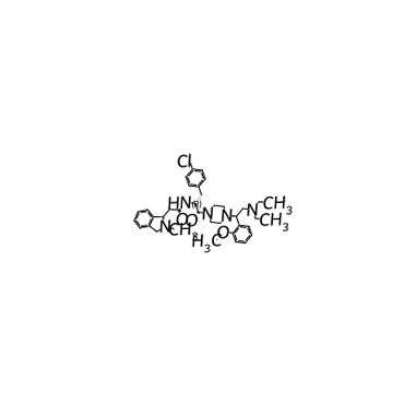 CCN(CC)CC(c1ccccc1OC)N1CCN(C(=O)[C@@H](Cc2ccc(Cl)cc2)NC(=O)CC2c3ccccc3CN2C)CC1